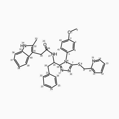 COc1ccc(-n2c(SCc3ccccn3)nnc2C(Cc2ccccc2)NC(=O)Cc2c(C)[nH]c3ccccc23)cc1